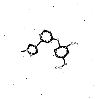 COc1cc(NC=O)ccc1Oc1ccnc(-c2cnn(C)c2)c1